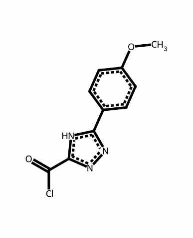 COc1ccc(-c2nnc(C(=O)Cl)[nH]2)cc1